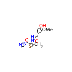 COc1cc(C=CC(=O)Nc2c(C)csc2C(=O)n2ccnc2)ccc1O